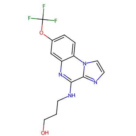 OCCCNc1nc2cc(OC(F)(F)F)ccc2n2ccnc12